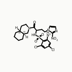 Nc1cc(Cl)cc(Cl)c1S(=O)(=O)NC(CCn1ccnc1[N+](=O)[O-])C(=O)N1CC[C@H]2CCCC[C@@H]2C1